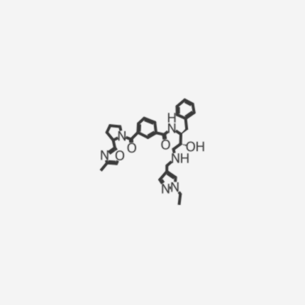 CCn1cc(CNC[C@@H](O)[C@H](Cc2ccccc2)NC(=O)c2cccc(C(=O)N3CCCC3c3nc(C)co3)c2)cn1